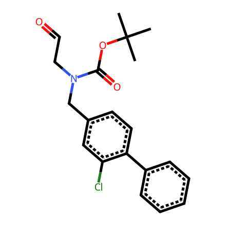 CC(C)(C)OC(=O)N(CC=O)Cc1ccc(-c2ccccc2)c(Cl)c1